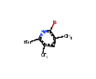 Cc1cc(C(F)(F)F)c(C(C)(C)C)nc1Br